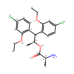 CCOc1cc(Cl)ccc1C(c1ccc(Cl)cc1OCC)[C@H](C)OC(=O)[C@H](C)N